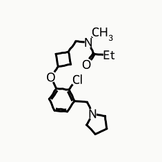 CCC(=O)N(C)CC1CC(Oc2cccc(CN3CCCC3)c2Cl)C1